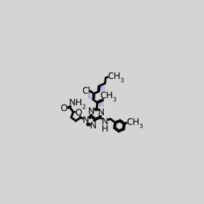 C\C=C(/C=C(Cl)\C=C\CCC)c1nc(NCc2cccc(C)c2)c2ncn(C3CCC(C(N)=O)O3)c2n1